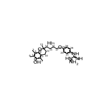 Cc1c(C)c2c(c(C)c1O)CCC(C)(CCCCOc1ccc(NC(=N)NN)cc1)O2.I